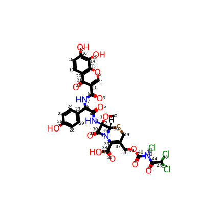 CO[C@@]1(NC(=O)C(NC(=O)c2coc3c(O)c(O)ccc3c2=O)c2ccc(O)cc2)C(=O)N2C(C(=O)O)=C(COC(=O)N(Cl)C(=O)C(Cl)Cl)CS[C@H]21